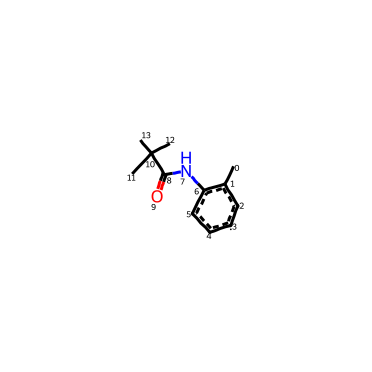 Cc1c[c]ccc1NC(=O)C(C)(C)C